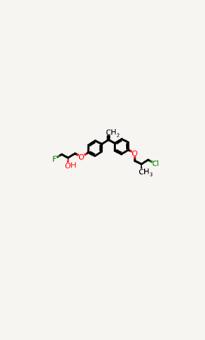 C=C(c1ccc(OC[C@H](C)CCl)cc1)c1ccc(OC[C@@H](O)CF)cc1